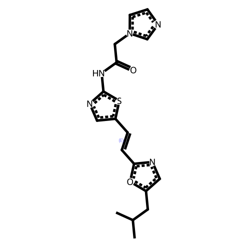 CC(C)Cc1cnc(/C=C/c2cnc(NC(=O)Cn3ccnc3)s2)o1